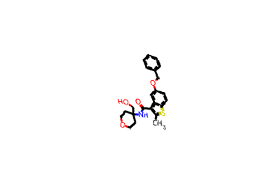 Cc1sc2ccc(OCc3ccccc3)cc2c1C(=O)NC1(CO)CCOCC1